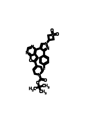 CC(C)(C)OC(=O)N1CC=C(c2cc3c(-c4cn(C5CS(=O)(=O)C5)nc4-c4ccc(F)cc4)ncnc3o2)CC1